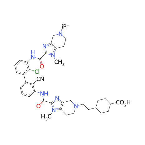 CC(C)N1CCc2c(nc(C(=O)Nc3cccc(-c4cccc(NC(=O)c5nc6c(n5C)CCN(CCC5CCC(C(=O)O)CC5)C6)c4C#N)c3Cl)n2C)C1